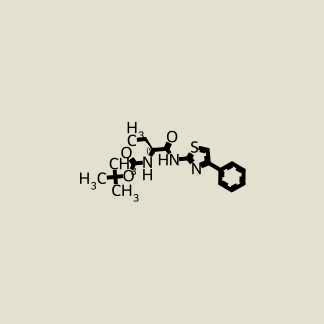 CC[C@H](NC(=O)OC(C)(C)C)C(=O)Nc1nc(-c2ccccc2)cs1